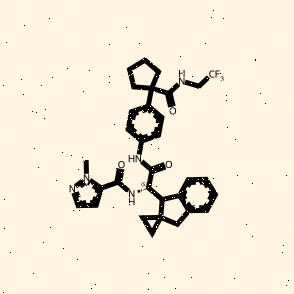 Cn1nccc1C(=O)N[C@H](C(=O)Nc1ccc(C2(C(=O)NCC(F)(F)F)CCCC2)cc1)C1c2ccccc2CC12CC2